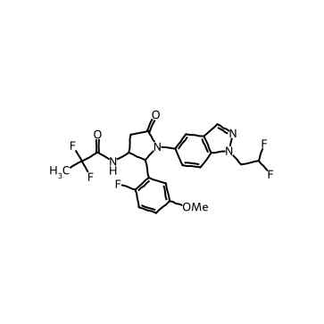 COc1ccc(F)c(C2C(NC(=O)C(C)(F)F)CC(=O)N2c2ccc3c(cnn3CC(F)F)c2)c1